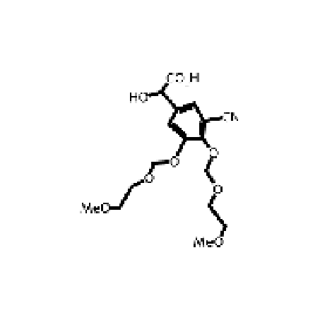 COCCOCOc1cc(C(O)C(=O)O)cc(C#N)c1OCOCCOC